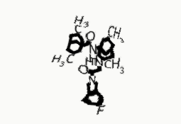 CC1CC2CC(C)(NCC(=O)N3Cc4ccc(F)cc4C3)CC(NC(=O)C34CC(C)CC(CC(C)C3)C4)(C1)C2